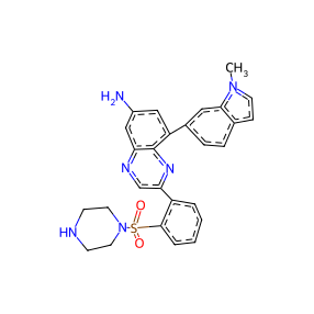 Cn1ccc2ccc(-c3cc(N)cc4ncc(-c5ccccc5S(=O)(=O)N5CCNCC5)nc34)cc21